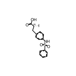 O=C(O)[C@H](I)Cc1ccc(NS(=O)(=O)c2ccccc2)cc1